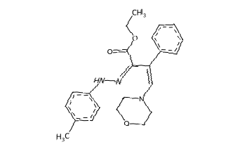 CCOC(=O)C(=NNc1ccc(C)cc1)C(=CN1CCOCC1)c1ccccc1